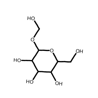 OCOC1OC(CO)C(O)C(O)C1O